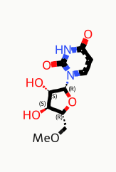 COC[C@H]1O[C@@H](n2ccc(=O)[nH]c2=O)[C@@H](O)[C@@H]1O